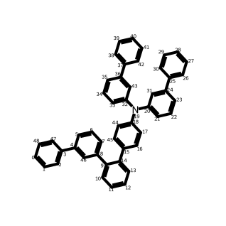 c1ccc(-c2cccc(-c3ccccc3-c3ccc(N(c4cccc(-c5ccccc5)c4)c4cccc(-c5ccccc5)c4)cc3)c2)cc1